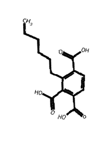 CCCCCCc1c(C(=O)O)ccc(C(=O)O)c1C(=O)O